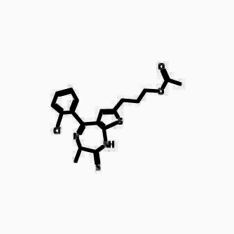 CC(=O)OCCCc1cc2c(s1)NC(=S)C(C)N=C2c1ccccc1Cl